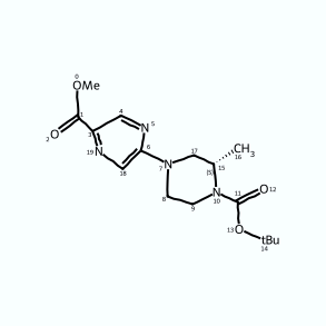 COC(=O)c1cnc(N2CCN(C(=O)OC(C)(C)C)[C@@H](C)C2)cn1